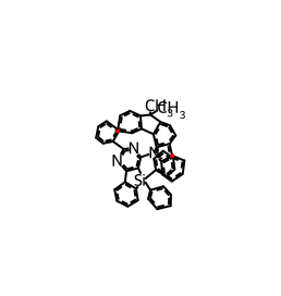 CC1(C)c2ccccc2-c2c1ccc1c3ccccc3n(-c3nc(-c4ccccc4)nc4c3[Si](c3ccccc3)(c3ccccc3)c3ccccc3-4)c21